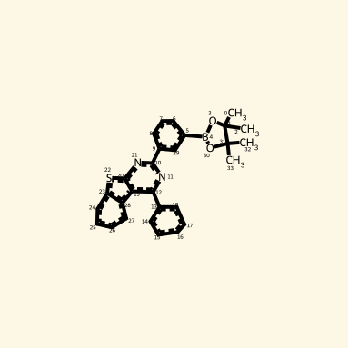 CC1(C)OB(c2cccc(-c3nc(-c4ccccc4)c4c(n3)sc3ccccc34)c2)OC1(C)C